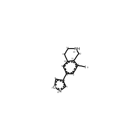 Ic1cc(-c2cnoc2)cc2c1CNCC2